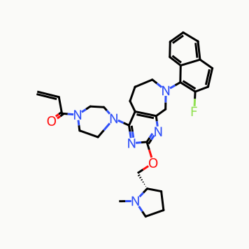 C=CC(=O)N1CCN(c2nc(OC[C@@H]3CCCN3C)nc3c2CCCN(c2c(F)ccc4ccccc24)C3)CC1